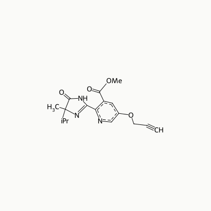 C#CCOc1cnc(C2=NC(C)(C(C)C)C(=O)N2)c(C(=O)OC)c1